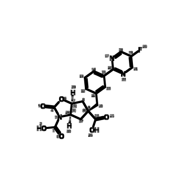 O=C(O)N1C(=O)O[C@H]2C[C@](Cc3cccc(-c4ncc(F)cn4)c3)(C(=O)O)C[C@H]21